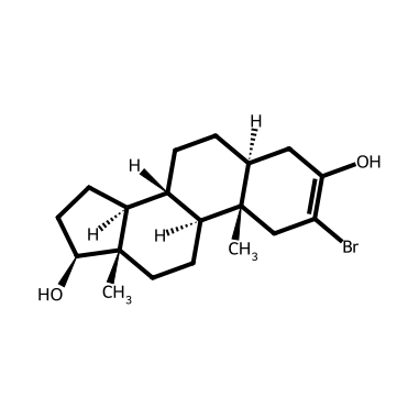 C[C@]12CC(Br)=C(O)C[C@@H]1CC[C@@H]1[C@@H]2CC[C@]2(C)[C@@H](O)CC[C@@H]12